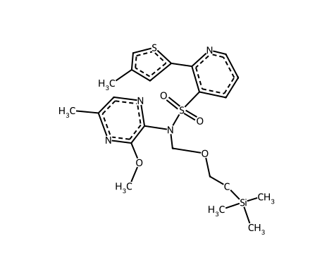 COc1nc(C)cnc1N(COCC[Si](C)(C)C)S(=O)(=O)c1cccnc1-c1cc(C)cs1